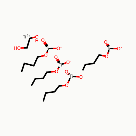 CCCC[O][Ti](=[O])[O-].CCCC[O][Ti](=[O])[O-].CCCC[O][Ti](=[O])[O-].CCCC[O][Ti](=[O])[O-].OCCO.[Ti+4]